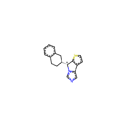 c1ccc2c(c1)CCC([C@@H]1c3sccc3-c3cncn31)C2